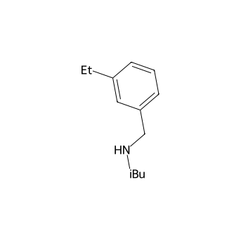 CCc1cccc(CNC(C)CC)c1